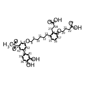 CS(=O)(=O)c1cc(OCCCCCCc2cccc(OCCCC(=O)O)c2CCC(=O)O)cc(-c2ccc(O)c(O)c2)c1